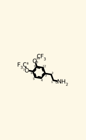 NCCc1ccc(OC(F)(F)F)c(OC(F)(F)F)c1